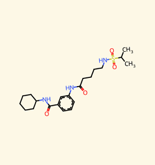 CC(C)S(=O)(=O)NCCCCC(=O)Nc1cccc(C(=O)NC2CCCCC2)c1